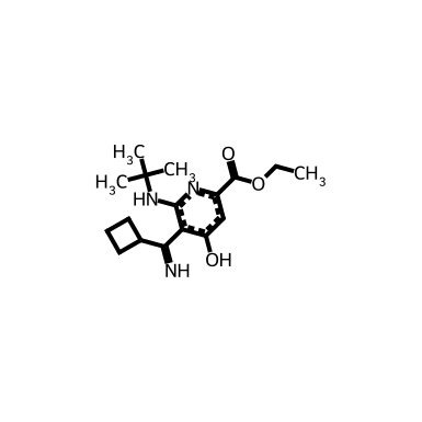 CCOC(=O)c1cc(O)c(C(=N)C2CCC2)c(NC(C)(C)C)n1